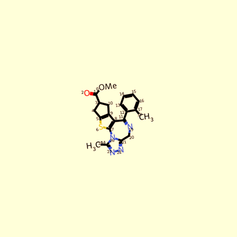 COC(=O)C1Cc2sc3c(c2C1)C(c1ccccc1C)=NCc1nnc(C)n1-3